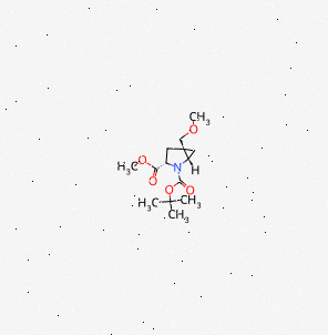 COC[C@@]12C[C@@H]1N(C(=O)OC(C)(C)C)[C@H](C(=O)OC)C2